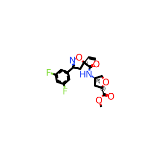 C=C[C@@]1(C(=O)N[C@H]2CO[C@@H](C(=O)OC)C2)CC(c2cc(F)cc(F)c2)=NO1